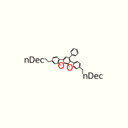 CCCCCCCCCCCCc1ccc2c(c1)oc1c2cc(-c2ccccc2)c2c3ccc(CCCCCCCCCCCC)cc3oc12